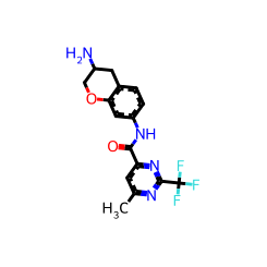 Cc1cc(C(=O)Nc2ccc3c(c2)OCC(N)C3)nc(C(F)(F)F)n1